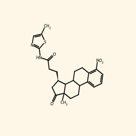 Cc1cnc(NC(=O)CC[C@@H]2CC(=O)C3(C)CCC4c5cccc([N+](=O)[O-])c5CCC4C23)s1